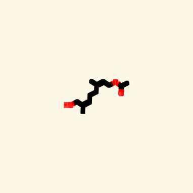 CC(=O)OCC=C(C)CCC=C(C)[CH]O